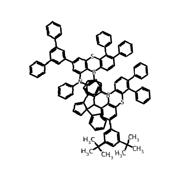 CC(C)(C)c1cc(-c2cc3c4c(c2)C(C2(c5ccccc5)C=CC=C2c2ccccc2)c2cc5c(cc2B4c2ccc(-c4ccccc4)c(-c4ccccc4)c2S3)B2c3ccc(-c4ccccc4)c(-c4ccccc4)c3Sc3cc(-c4cc(-c6ccccc6)cc(-c6ccccc6)c4)cc(c32)N5c2ccccc2)cc(C(C)(C)C)c1